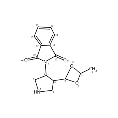 CC1OC(C2CNCC2N2C(=O)c3ccccc3C2=O)O1